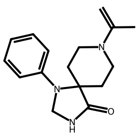 C=C(C)N1CCC2(CC1)C(=O)NCN2c1ccccc1